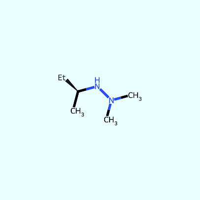 CC[C@H](C)NN(C)C